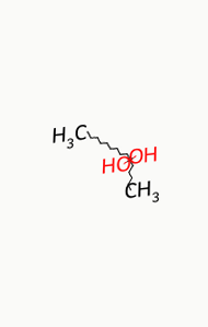 CCCCCCCCCCC(O)(O)CCCCC